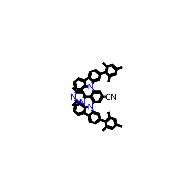 Cc1cc(C)c(-c2ccc3c4ccccc4n(-c4cc(C#N)cc(-n5c6ccccc6c6ccc(-c7c(C)cc(C)cc7C)cc65)c4-c4cc(C)nc(C)n4)c3c2)c(C)c1